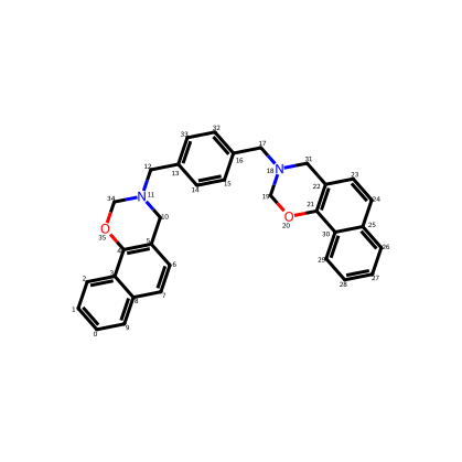 c1ccc2c3c(ccc2c1)CN(Cc1ccc(CN2COc4c(ccc5ccccc45)C2)cc1)CO3